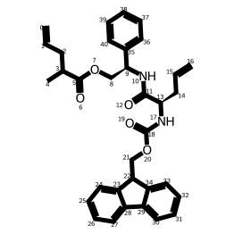 C=CCC(C)C(=O)OC[C@H](NC(=O)[C@@H](CC=C)NC(=O)OCC1c2ccccc2-c2ccccc21)c1ccccc1